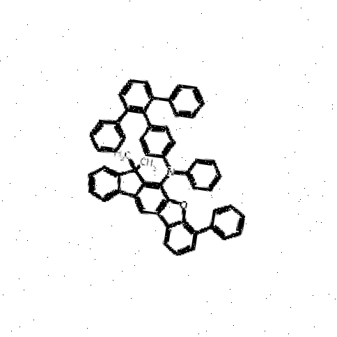 CC1(C)c2ccccc2-c2cc3c(oc4c(-c5ccccc5)cccc43)c(N(c3ccccc3)c3ccc(-c4c(-c5ccccc5)cccc4-c4ccccc4)cc3)c21